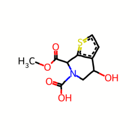 COC(=O)C1c2sccc2C(O)CN1C(=O)O